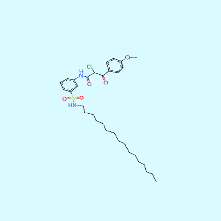 CCCCCCCCCCCCCCCCNS(=O)(=O)c1cccc(NC(=O)C(Cl)C(=O)c2ccc(OC)cc2)c1